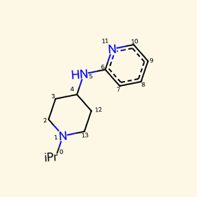 CC(C)N1CCC(Nc2ccccn2)CC1